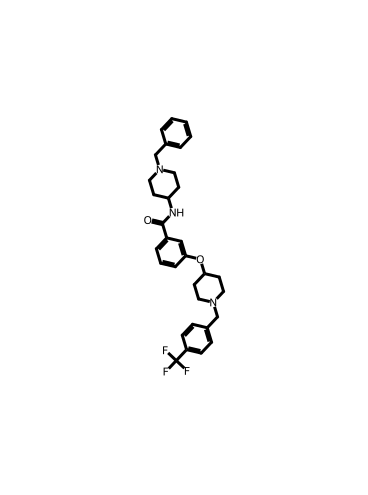 O=C(NC1CCN(Cc2ccccc2)CC1)c1cccc(OC2CCN(Cc3ccc(C(F)(F)F)cc3)CC2)c1